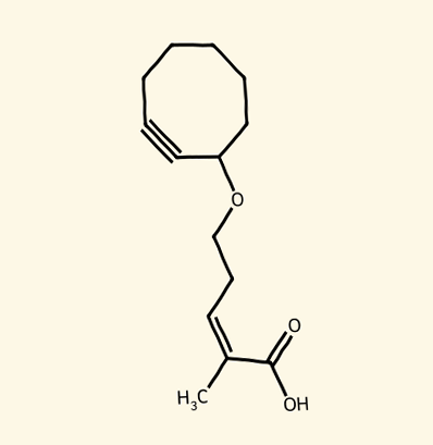 CC(=CCCOC1C#CCCCCC1)C(=O)O